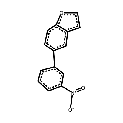 O=[N+]([O-])c1cccc(-c2ccc3occc3c2)c1